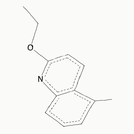 CCOc1ccc2c(C)cccc2n1